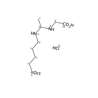 CCCCCCCCCCCCNC(C)NCC(=O)O.Cl